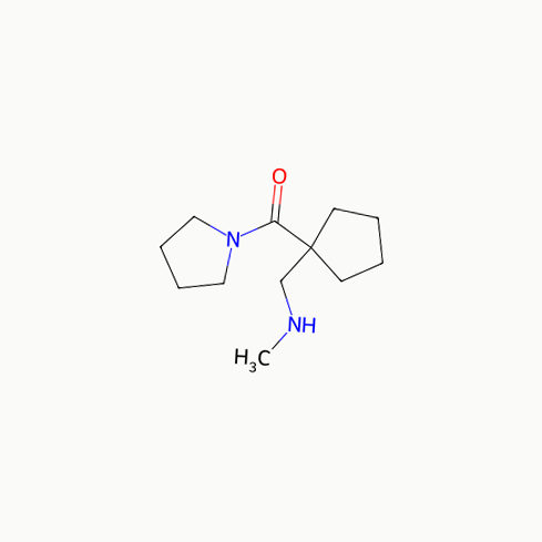 CNCC1(C(=O)N2CCCC2)CCCC1